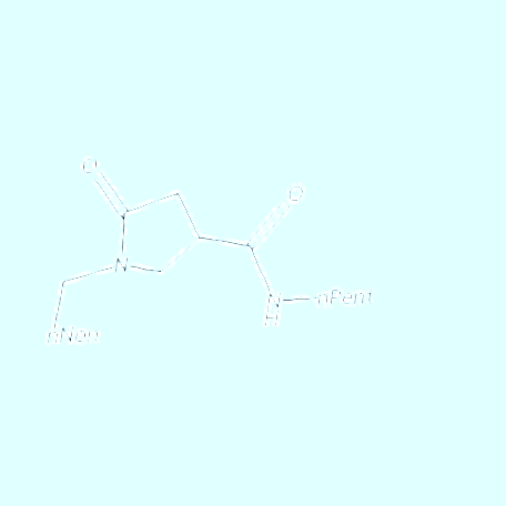 CCCCCCCCCCN1CC(C(=O)NCCCCC)CC1=O